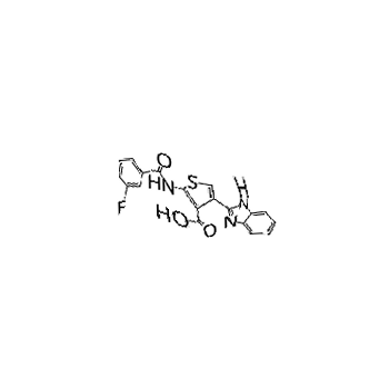 O=C(Nc1scc(-c2nc3ccccc3[nH]2)c1C(=O)O)c1cccc(F)c1